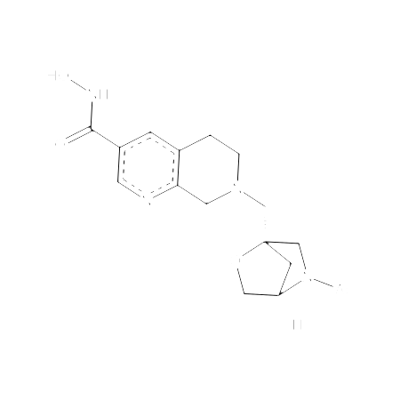 CC(=O)N1C[C@@]2(CN3CCc4cc(C(=O)NO)cnc4C3)C[C@@H]1CO2